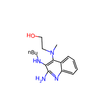 CCCCNc1c(N)nc2ccccc2c1N(C)CCO